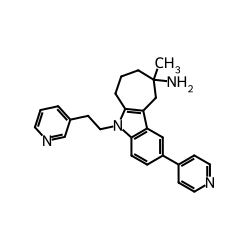 CC1(N)CCCc2c(c3cc(-c4ccncc4)ccc3n2CCc2cccnc2)C1